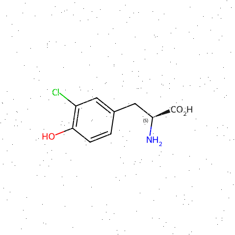 N[C@@H](Cc1ccc(O)c(Cl)c1)C(=O)O